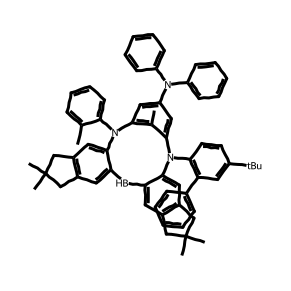 Cc1ccccc1N1c2cc3c(cc2Bc2cc4c(cc2N(c2ccc(C(C)(C)C)cc2-c2ccccc2)c2cc(N(c5ccccc5)c5ccccc5)cc1c2C)CC(C)(C)C4)CC(C)(C)C3